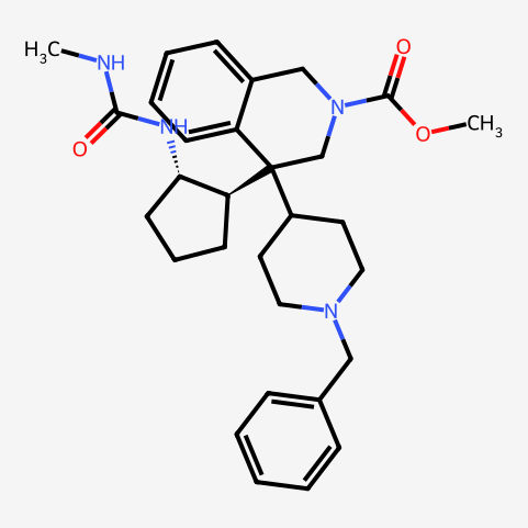 CNC(=O)N[C@H]1CCC[C@@H]1C1(C2CCN(Cc3ccccc3)CC2)CN(C(=O)OC)Cc2ccccc21